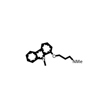 CNCCCOc1cccc2c3ccccc3n(C)c12